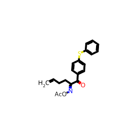 C=CCC/C(=N\OC(C)=O)C(=O)c1ccc(Sc2ccccc2)cc1